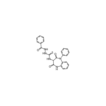 O=C(NNC(=S)NC1C(=O)Nc2ccccc2N(c2ccccc2)C1=O)c1ccccc1